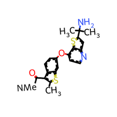 CNC(=O)c1c(C)sc2cc(Oc3ccnc4cc(C(C)(C)N)sc34)ccc12